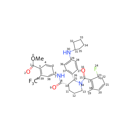 COC(=O)c1ccc(NC(=O)[C@H]2CCCN(C(=O)c3c(C)cccc3F)[C@H]2c2ccc(NC3CCCC3)cc2)cc1C(F)(F)F